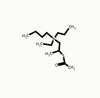 CCCC[N+](CC)(CCC)CC(C)SC(C)=O